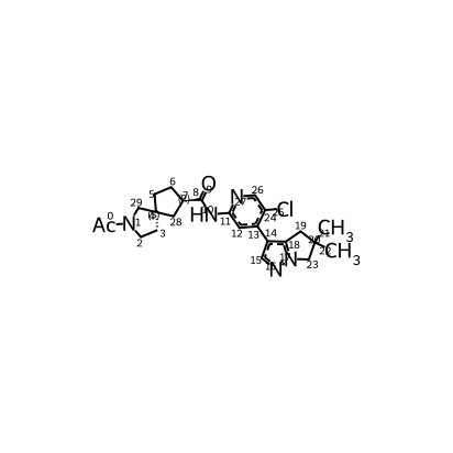 CC(=O)N1CC[C@@]2(CC[C@@H](C(=O)Nc3cc(-c4cnn5c4CC(C)(C)C5)c(Cl)cn3)C2)C1